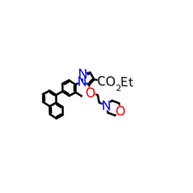 CCOC(=O)c1cnn(-c2ccc(-c3cccc4ccccc34)cc2C)c1OCCN1CCOCC1